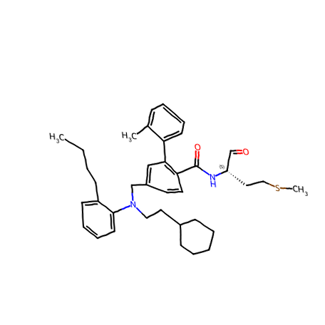 CCCCc1ccccc1N(CCC1CCCCC1)Cc1ccc(C(=O)N[C@H](C=O)CCSC)c(-c2ccccc2C)c1